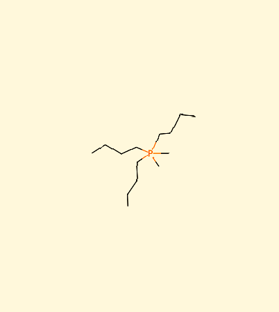 CCCCP(C)(C)(CCCC)CCCC